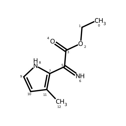 CCOC(=O)C(=N)c1[nH]ccc1C